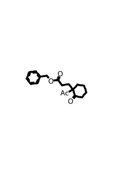 CC(=O)C1(CCC(=O)OCc2ccccc2)CCCCC1=O